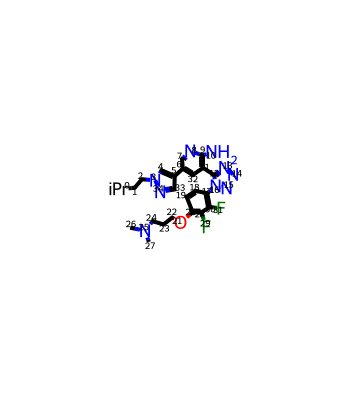 CC(C)CCn1cc(-c2cnc(N)c(-c3nnnn3-c3ccc(OCCCN(C)C)c(F)c3F)c2)cn1